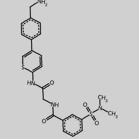 CN(C)S(=O)(=O)c1cccc(C(=O)NCC(=O)NC2=C=CC(c3ccc(CN)cc3)=CS2)c1